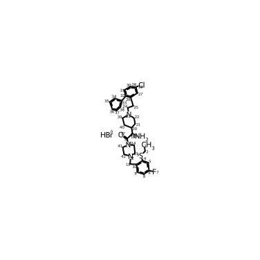 Br.CCSc1cc(F)ccc1CN1CCN(C(=O)[C@H](N)C2CCN(CCc3cc(Cl)ccc3-c3ccccc3)CC2)CC1